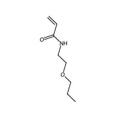 C=CC(=O)NCCOCCC